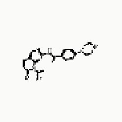 CC(Nc1ncc2ccc(=O)n(C(C)C(C)C)c2n1)c1ccc(N2CCNCC2)cc1